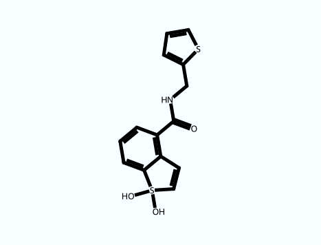 O=C(NCc1cccs1)c1cccc2c1C=CS2(O)O